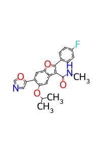 CNC(=O)c1c(-c2ccc(F)cc2)oc2cc(-c3cnco3)c(OC(C)C)cc12